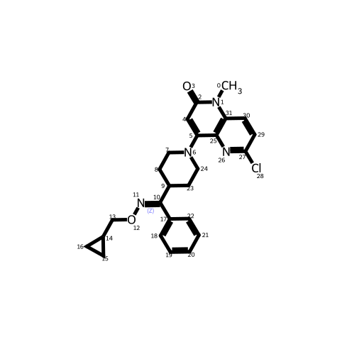 Cn1c(=O)cc(N2CCC(/C(=N/OCC3CC3)c3ccccc3)CC2)c2nc(Cl)ccc21